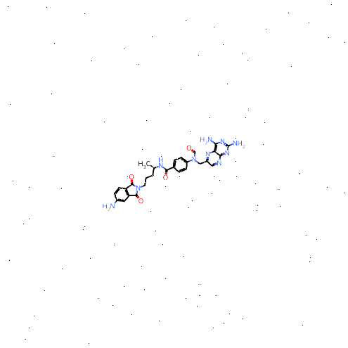 C[C@H](CCCN1C(=O)c2ccc(N)cc2C1=O)NC(=O)c1ccc(N(C=O)Cc2cnc3nc(N)nc(N)c3n2)cc1